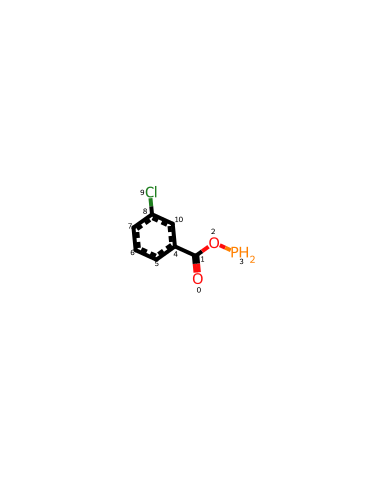 O=C(OP)c1cccc(Cl)c1